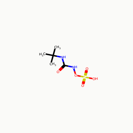 CC(C)(C)NC(=O)NOS(=O)(=O)O